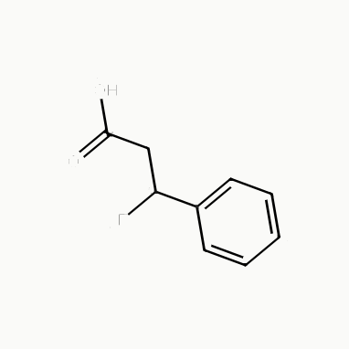 O=C(O)CC(F)c1ccccc1